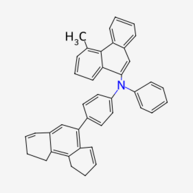 Cc1cccc2c(N(c3ccccc3)c3ccc(-c4cc5c(c6c4C=CCC6)CCC=C5)cc3)cc3ccccc3c12